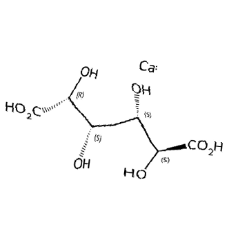 O=C(O)[C@@H](O)[C@@H](O)[C@H](O)[C@@H](O)C(=O)O.[Ca]